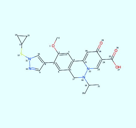 COc1cc2c(cc1-c1cnn(SC3CC3)c1)CN(C(C)C)n1cc(C(=O)O)c(=O)cc1-2